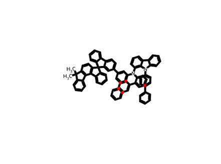 CC1(C)c2ccccc2-c2c1ccc1c2-c2ccccc2C12c1ccccc1-c1ccc(-c3cc(-c4ccccc4)cc(N(c4ccccc4-c4ccccc4)c4cccc5c6ccccc6n(-c6ccc(-c7ccccc7)cc6)c45)c3)cc12